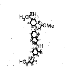 COC(=O)CN(c1ccc2cnc(Nc3ccc(-n4ccc(CO)n4)cc3F)cc2n1)C1CCC(N(C)C)CC1